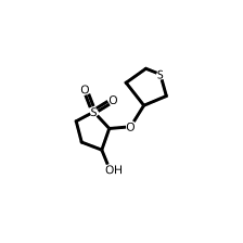 O=S1(=O)CCC(O)C1OC1CCSC1